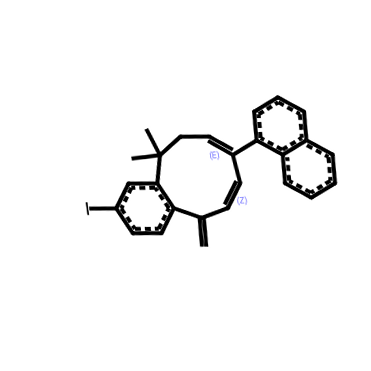 C=C1/C=C\C(c2cccc3ccccc23)=C/CC(C)(C)c2cc(I)ccc21